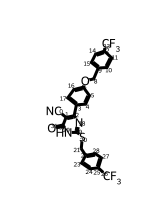 N#Cc1c(-c2ccc(OCc3ccc(C(F)(F)F)cc3)cc2)nc(SCc2ccc(C(F)(F)F)cc2)[nH]c1=O